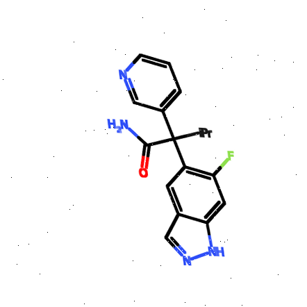 CC(C)C(C(N)=O)(c1cccnc1)c1cc2cn[nH]c2cc1F